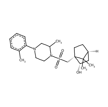 Cc1ccccc1N1CCN(S(=O)(=O)C[C@@]23CC[C@@H](C[C@@H]2O)C3(C)C)C(C)C1